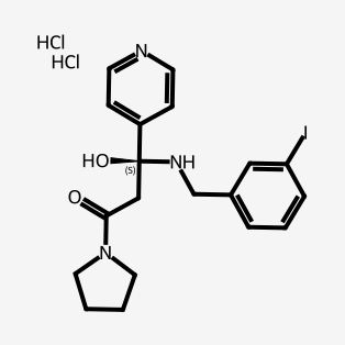 Cl.Cl.O=C(C[C@@](O)(NCc1cccc(I)c1)c1ccncc1)N1CCCC1